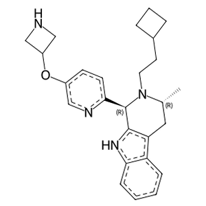 C[C@@H]1Cc2c([nH]c3ccccc23)[C@@H](c2ccc(OC3CNC3)cn2)N1CCC1CCC1